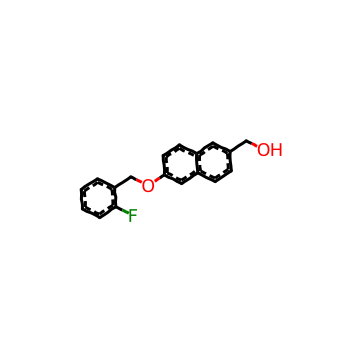 OCc1ccc2cc(OCc3ccccc3F)ccc2c1